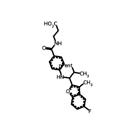 CCCCCC(C)C(Nc1ccc(C(=O)NCCC(=O)O)cc1)c1oc2ccc(F)cc2c1C